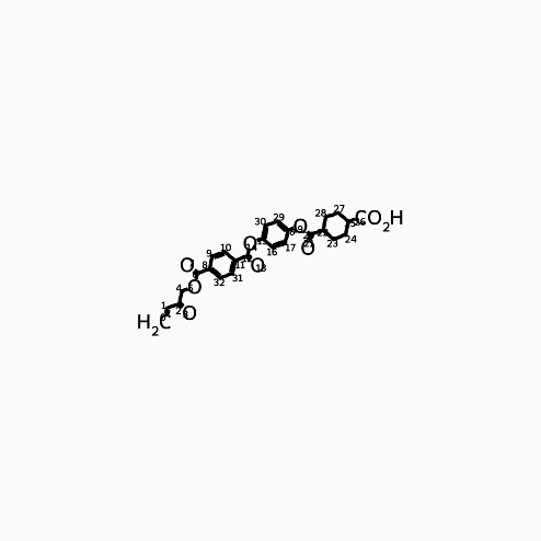 C=CC(=O)COC(=O)c1ccc(C(=O)Oc2ccc(OC(=O)C3CCC(C(=O)O)CC3)cc2)cc1